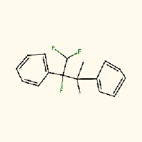 CC(C)(c1ccccc1)C(F)([C](F)F)c1ccccc1